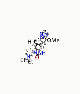 CCC(CC)N1CCCC(n2c(=O)[nH]c3cc(-c4cc(OC)c5ncnn5c4)c(C)cc32)C1